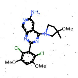 COc1cc(OC)c(Cl)c(-c2nc(N3CCC(C)(OC)C3)c3cc(N)ncc3n2)c1Cl